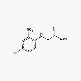 CNC(=O)CNc1ccc(Br)cc1[N+](=O)[O-]